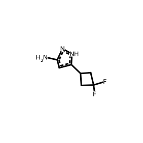 Nc1cc(C2CC(F)(F)C2)[nH]n1